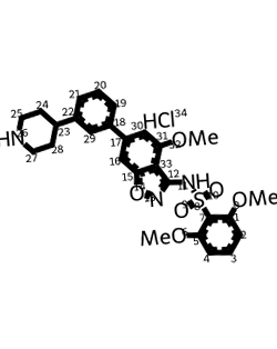 COc1cccc(OC)c1S(=O)(=O)Nc1noc2cc(-c3cccc(C4CCNCC4)c3)cc(OC)c12.Cl